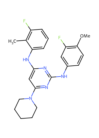 COc1ccc(Nc2nc(Nc3cccc(F)c3C)cc(N3CCCCC3)n2)cc1F